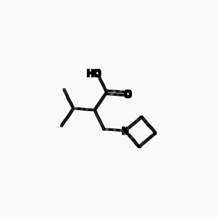 CC(C)C(CN1CCC1)C(=O)O